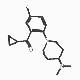 CN(C)C1CCN(c2ccc(I)cc2C(=O)C2CC2)CC1